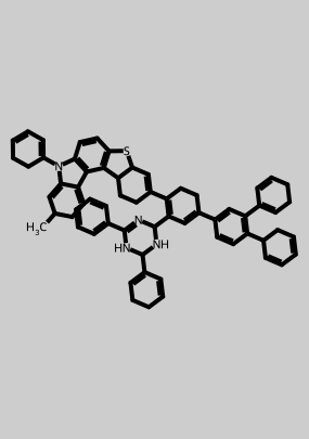 CC1C=c2c(c3c4c(ccc3n2C2=CC=CCC2)SC2C=C(C3=C(C5N=C(c6ccccc6)NC(C6=CCCC=C6)N5)C=C(c5ccc(C6C=CC=CC6)c(C6=CCCC=C6)c5)CC3)CCC42)=CC1